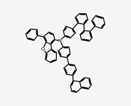 c1ccc(-c2ccccc2-c2ccccc2-c2ccc(N(c3ccc(-c4ccc(-c5cccc6ccccc56)cc4)cc3)c3ccc(-c4ccccc4)c4oc5ccccc5c34)cc2)cc1